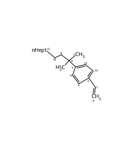 C=Cc1ccc(C(C)(C)CCCCCCCCC)cc1